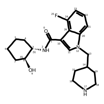 O=C(N[C@H]1CCCC[C@@H]1O)c1cn(CC2CCNCC2)c2cccc(F)c12